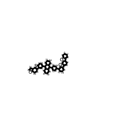 c1ccc2c(c1)oc1c2ccc2c3cccc(-c4ccc(-c5c6ccccc6c(-c6ccc7sc8c9ccoc9ccc8c7c6)c6ccccc56)cc4)c3oc21